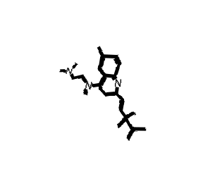 Cc1ccc2nc(/C=C/C(C)(C)C(C)C)cc(N(C)CCN(C)C)c2c1